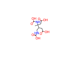 CC(CC(=O)O)(NC(=O)O)C(CNC(=O)O)CC(=O)O